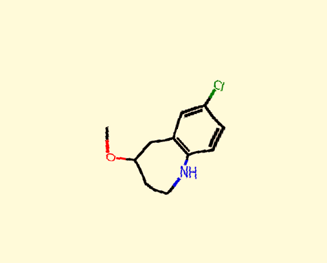 COC1CCNc2ccc(Cl)cc2C1